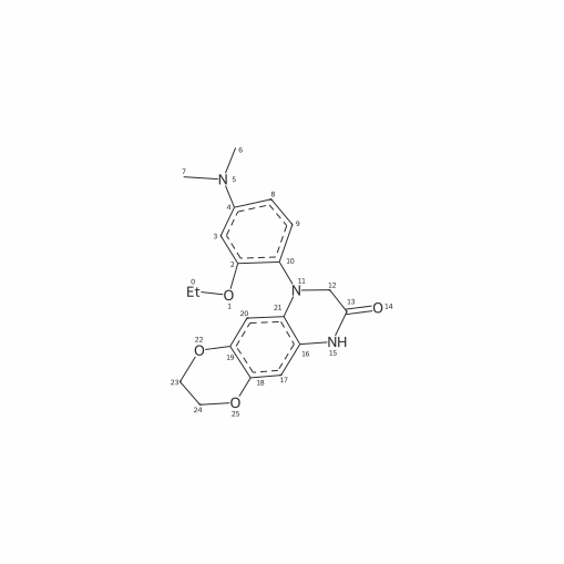 CCOc1cc(N(C)C)ccc1N1CC(=O)Nc2cc3c(cc21)OCCO3